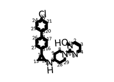 ON1C=CC=NC1N1CCC(NC2CC2c2ccc(-c3ccc(Cl)cc3)cc2)CC1